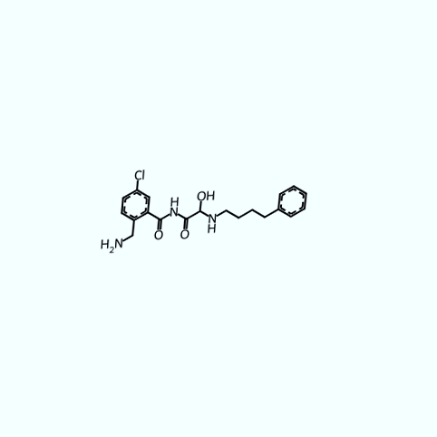 NCc1ccc(Cl)cc1C(=O)NC(=O)C(O)NCCCCc1ccccc1